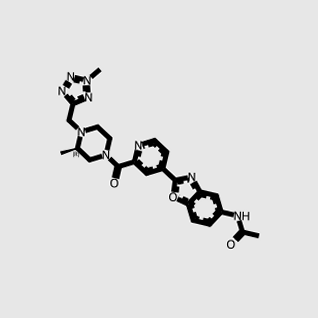 CC(=O)Nc1ccc2oc(-c3ccnc(C(=O)N4CCN(Cc5nnn(C)n5)[C@H](C)C4)c3)nc2c1